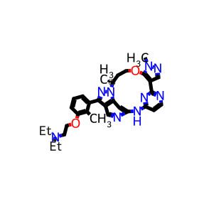 CCN(CC)CCOc1cccc(-c2nn3c4cc(ncc24)Nc2ccnc(n2)-c2cnn(C)c2OCC[C@@H]3C)c1C